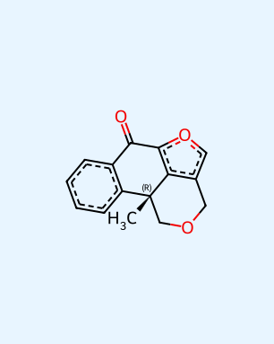 C[C@]12COCc3coc(c31)C(=O)c1ccccc12